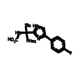 CCCCCCC(NC(=O)O)(c1nc(-c2ccc(F)cc2)c[nH]1)C(C)(C)C